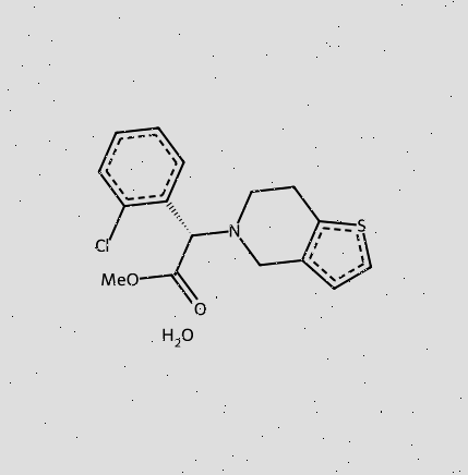 COC(=O)[C@H](c1ccccc1Cl)N1CCc2sccc2C1.O